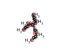 COc1ccc2cc(C(C)C(=O)Oc3ccc(/C=C/c4cc(OC(=O)C(C)c5ccc6cc(OC)ccc6c5)cc(OC(=O)C(C)c5ccc6cc(OC)ccc6c5)c4)cc3)ccc2c1